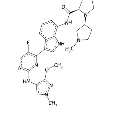 COc1nn(C)cc1Nc1ncc(F)c(-c2c[nH]c3c(NC(=O)[C@H]4CCCN4[C@H]4CCN(C)C4)cccc23)n1